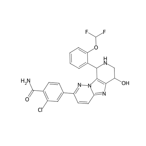 NC(=O)c1ccc(-c2ccc3nc4c(n3n2)C(c2ccccc2OC(F)F)NCC4O)cc1Cl